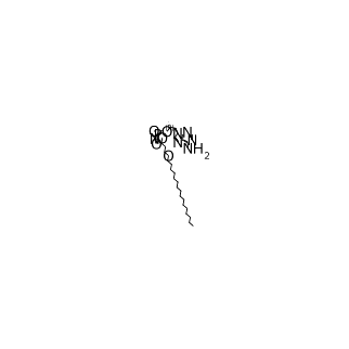 CCCCCCCCCCCCCCCCOCCCOP(=O)(CO[C@H](C)Cn1cnc2c(N)ncnc21)N=O